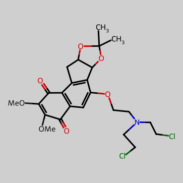 COC1=C(OC)C(=O)c2c(cc(OCCN(CCCl)CCCl)c3c2CC2OC(C)(C)OC32)C1=O